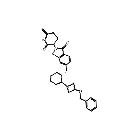 C=C1CCC(N2Cc3cc(C[C@H]4CCCC[C@@H]4N4CC(OCc5ccccc5)C4)ccc3C2=O)C(=O)N1